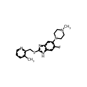 Cc1cccnc1CSc1nc2cc(N3CCN(C)CC3)c(F)cc2[nH]1